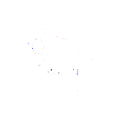 COc1ccc2ncc(F)c([C@@H](O)CC[C@H]3CCN(CCSC4CCC4)C[C@H]3C(=O)O)c2c1